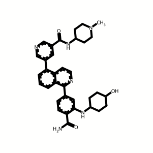 CN1CCC(NC(=O)c2cncc(-c3cccc4c(-c5ccc(C(N)=O)c(NC6CCC(O)CC6)c5)nccc34)c2)CC1